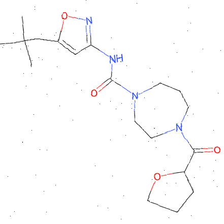 CC(C)(C)c1cc(NC(=O)N2CCCN(C(=O)C3CCCO3)CC2)no1